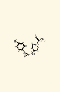 CC(=O)N1CCC(NC2CC2c2ccc(Br)cc2)CC1